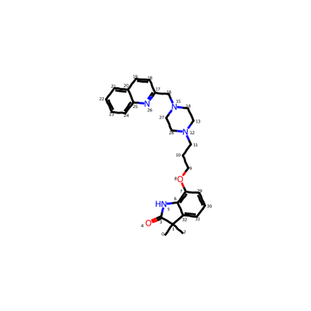 CC1(C)C(=O)Nc2c(OCCCN3CCN(Cc4ccc5ccccc5n4)CC3)cccc21